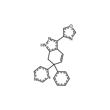 C1=CC(c2ccccc2)(c2ccncn2)Cc2[nH]nc(-c3cocn3)c21